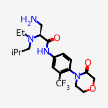 CCN(CC(C)C)[C@@H](CN)C(=O)Nc1ccc(N2CCOCC2=O)c(C(F)(F)F)c1